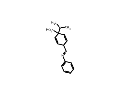 CN(C)C1(S(=O)(=O)O)C=CC(/N=N/c2ccccc2)C=C1